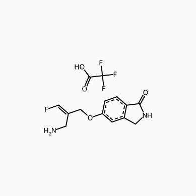 NC/C(=C\F)COc1ccc2c(c1)CNC2=O.O=C(O)C(F)(F)F